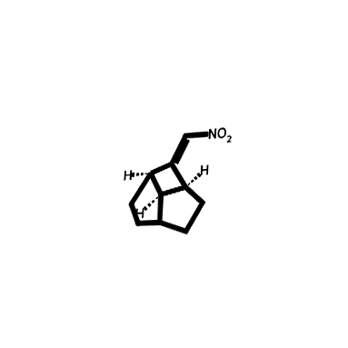 O=[N+]([O-])/C=C1\[C@H]2CCC3CC[C@@H]1[C@H]32